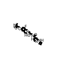 Cc1ncoc1COc1cc(F)c2c(c1)CCN(C[C@@H](O)CNC(=O)c1ccnc(NC3CCC3)c1)C2